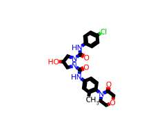 Cc1cc(NC(=O)N2CC(O)CN2C(=O)Nc2ccc(Cl)cc2)ccc1N1CCOCC1=O